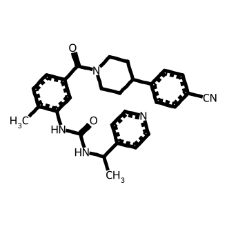 Cc1ccc(C(=O)N2CCC(c3ccc(C#N)cc3)CC2)cc1NC(=O)NC(C)c1ccncc1